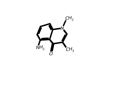 Cc1cn(C)c2cccc(N)c2c1=O